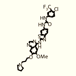 COc1cc2c(Nc3nc4ccc(NC(=O)Nc5ccc(Cl)c(C(F)(F)F)c5)cc4s3)ncnc2cc1OCCCN1CCCC1